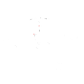 CC(C)(C)OC(=O)N1[C@@H]2CC[C@H]1C[C@H](c1cc(N(COCC[Si](C)(C)C)COCC[Si](C)(C)C)n3ncc(-c4ccc(C5(O)CC5)nc4)c3n1)C2